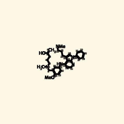 C=C(O)CCCN(C)Cc1cc(Nc2ncnc3c2c(CCCNC)cn3-c2ccccc2)ccc1OC